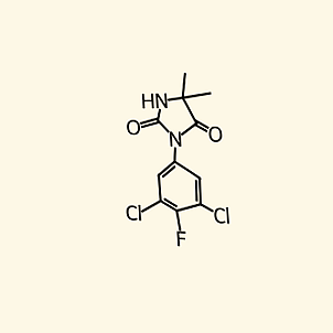 CC1(C)NC(=O)N(c2cc(Cl)c(F)c(Cl)c2)C1=O